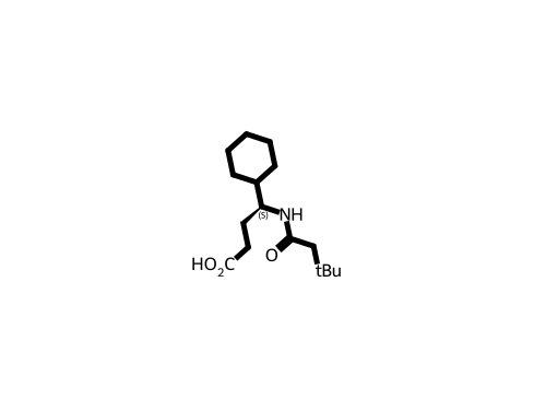 CC(C)(C)CC(=O)N[C@@H](CCC(=O)O)C1CCCCC1